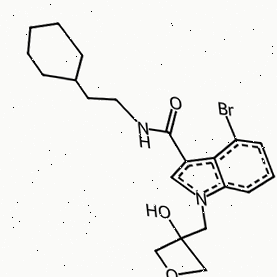 O=C(NCCC1CCCCC1)c1cn(CC2(O)COC2)c2cccc(Br)c12